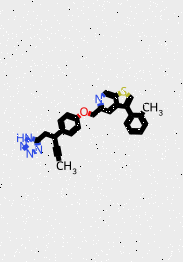 CC#CC(Cc1nnn[nH]1)c1ccc(OCc2cc3c(-c4ccccc4C)csc3cn2)cc1